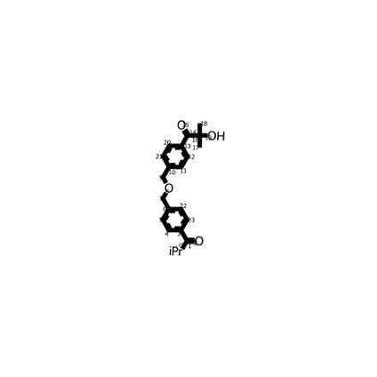 CC(C)C(=O)c1ccc(COCc2ccc(C(=O)C(C)(C)O)cc2)cc1